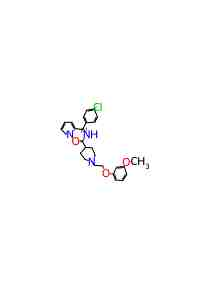 COc1cccc(OCCN2CCC(C(=O)N[C@@H](c3ccc(Cl)cc3)c3ccccn3)CC2)c1